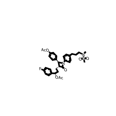 CC(=O)Oc1ccc([C@@H]2[C@@H](CC[C@H](OC(C)=O)c3ccc(F)cc3)C(=O)N2c2ccc(CCCN(C)S(C)(=O)=O)cc2)cc1